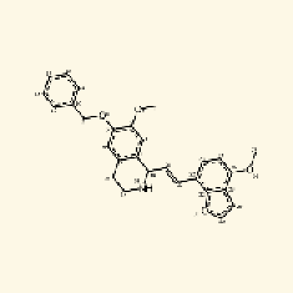 COc1cc2c(cc1OCc1ccccc1)CCNC2/C=C/c1ccc(OC)c2ccoc12